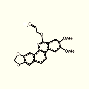 C=CCOc1nc2c3cc4c(cc3ccc2c2cc(OC)c(OC)cc12)OCO4